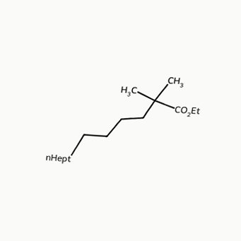 CCCCCCCCCCCC(C)(C)C(=O)OCC